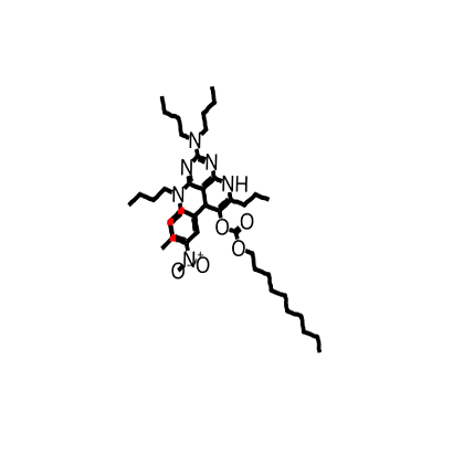 CCCCCCCCCCOC(=O)OC1=C(CCC)Nc2nc(N(CCCC)CCCC)nc(N(CCCC)CCCC)c2C1c1cccc([N+](=O)[O-])c1